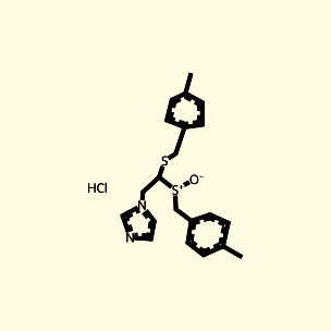 Cc1ccc(CSC(Cn2ccnc2)[S+]([O-])Cc2ccc(C)cc2)cc1.Cl